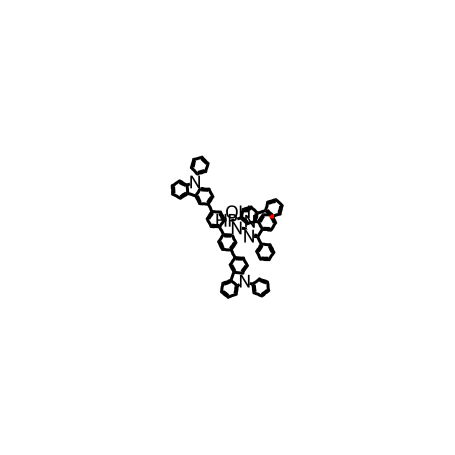 O[PH]1(c2ccc(-c3ccccc3)cc2)c2cc(-c3ccc4c(c3)c3ccccc3n4-c3ccccc3)ccc2-c2ccc(-c3ccc4c(c3)c3ccccc3n4-c3ccccc3)cc2N1c1nc(-c2ccccc2)c2ccccc2n1